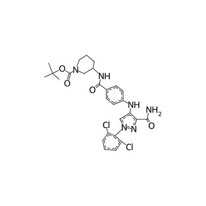 CC(C)(C)OC(=O)N1CCCC(NC(=O)c2ccc(Nc3cn(-c4c(Cl)cccc4Cl)nc3C(N)=O)cc2)C1